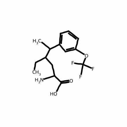 CCC(CC(N)C(=O)O)C(C)c1cccc(OC(F)(F)F)c1